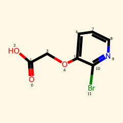 O=C(O)COc1cccnc1Br